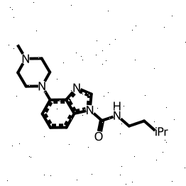 CC(C)CCNC(=O)n1cnc2c(N3CCN(C)CC3)cccc21